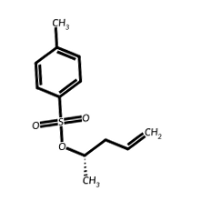 C=CC[C@H](C)OS(=O)(=O)c1ccc(C)cc1